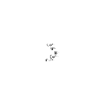 [Co+2].[Co+2].[Co+2].[N-3].[N-3]